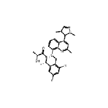 Cc1cc(C2C(C)C=NN2C)c2cccc(OCc3c(Cl)cc(F)cc3[C@H](C)NC(=O)[C@H](C)O)c2n1